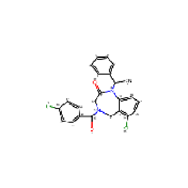 N#CC(c1ccccc1)N1C(=O)CN(C(=O)c2ccc(Cl)cc2)Cc2c(Cl)cccc21